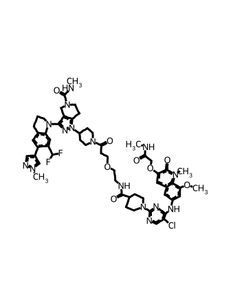 CNC(=O)COc1cc2cc(Nc3nc(N4CCC(C(=O)NCCOCCC(=O)N5CCC(n6nc(N7CCCc8cc(-c9cnn(C)c9)c(C(F)F)cc87)c7c6CCN(C(=O)NC)C7)CC5)CC4)ncc3Cl)cc(OC)c2n(C)c1=O